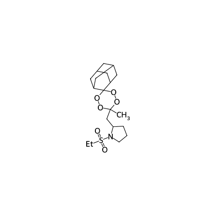 CCS(=O)(=O)N1CCCC1CC1(C)OOC2(OO1)C1CC3CC(C1)CC2C3